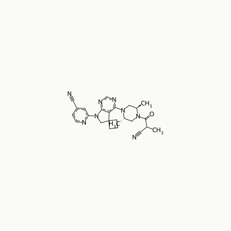 CC(C#N)C(=O)N1C[C@H](C)N(c2ncnc3c2C2(CCC2)CN3c2cc(C#N)ccn2)C[C@H]1C